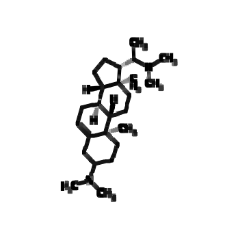 CC([C@H]1CC[C@H]2[C@@H]3CC=C4CC(N(C)C)CC[C@]4(C)[C@H]3CC[C@]12C)N(C)C